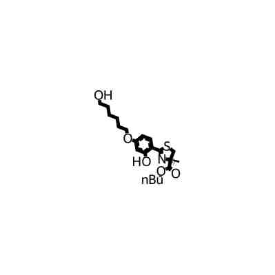 CCCCOC(=O)[C@@]1(C)CSC(c2ccc(OCCCCCCO)cc2O)=N1